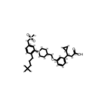 CC(C)(C)CCCc1ccc(CS(C)(=O)=O)cc1N1CCC(COc2cccc(C(CC(=O)O)C3CC3)c2)CC1